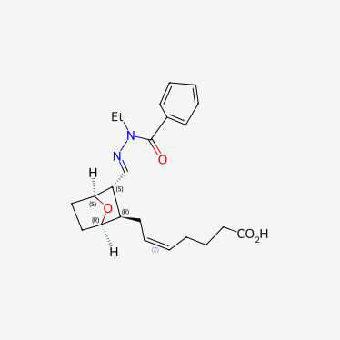 CCN(N=C[C@@H]1[C@@H](C/C=C\CCCC(=O)O)[C@H]2CC[C@@H]1O2)C(=O)c1ccccc1